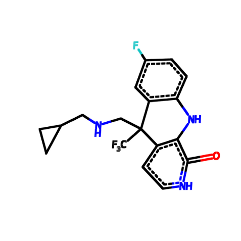 O=c1[nH]ccc2c1Nc1ccc(F)cc1C2(CNCC1CC1)C(F)(F)F